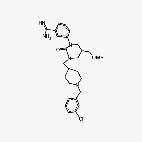 COCC1CN(CC2CCN(Cc3cccc(Cl)c3)CC2)C(=O)N(c2cccc(C(=N)N)c2)C1